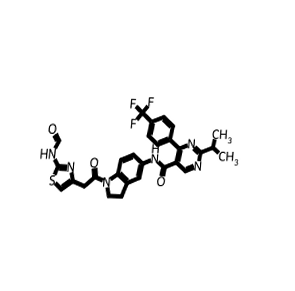 CC(C)c1ncc(C(=O)Nc2ccc3c(c2)CCN3C(=O)Cc2csc(NC=O)n2)c(-c2ccc(C(F)(F)F)cc2)n1